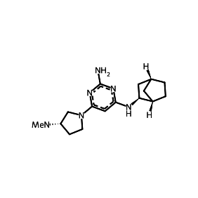 CN[C@H]1CCN(c2cc(N[C@H]3C[C@@H]4CC[C@H]3C4)nc(N)n2)C1